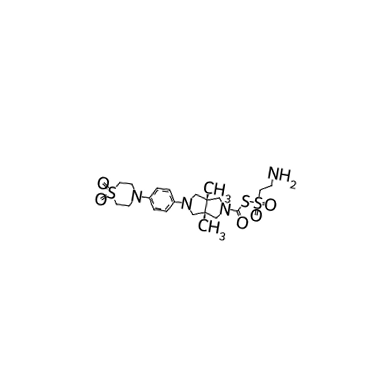 C[C@@]12CN(C(=O)SS(=O)(=O)CCN)C[C@]1(C)CN(c1ccc(N3CCS(=O)(=O)CC3)cc1)C2